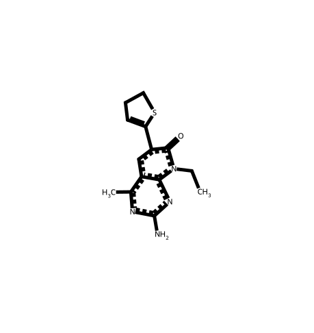 CCn1c(=O)c(C2=CCCS2)cc2c(C)nc(N)nc21